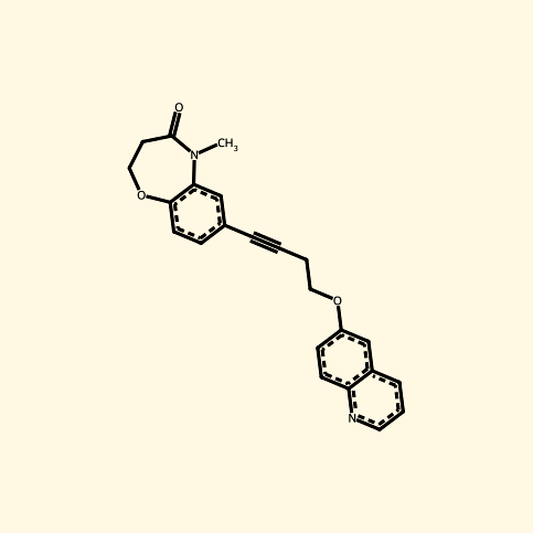 CN1C(=O)CCOc2ccc(C#CCCOc3ccc4ncccc4c3)cc21